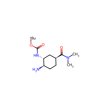 CN(C)C(=O)[C@H]1CC[C@@H](N)[C@H](NC(=O)OC(C)(C)C)C1